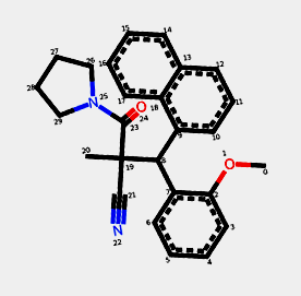 COc1ccccc1C(c1cccc2ccccc12)C(C)(C#N)C(=O)N1CCCC1